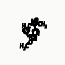 CCOc1nc2ncc(-c3c(C)noc3C)cc2n1Cc1ccccc1